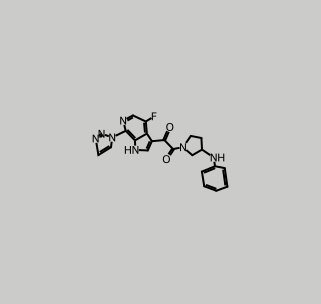 O=C(C(=O)N1CCC(Nc2ccccc2)C1)c1c[nH]c2c(-n3ccnn3)ncc(F)c12